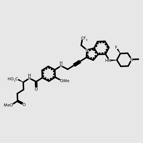 COC(=O)CC[C@H](NC(=O)c1ccc(NCC#Cc2cc3c(N[C@@H]4CCN(C)C[C@@H]4F)cccc3n2CC(F)(F)F)c(OC)c1)C(=O)O